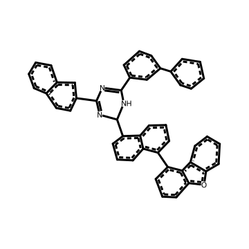 c1ccc(-c2cccc(C3=NC(c4ccc5ccccc5c4)=NC(c4cccc5c(-c6cccc7oc8ccccc8c67)cccc45)N3)c2)cc1